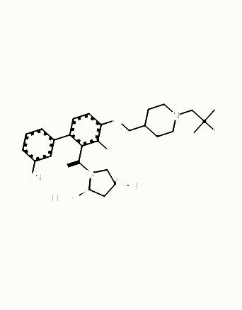 CC(C)(F)CN1CCC(COc2ccc(-c3cccc(C#N)c3)c(C(=O)N3C[C@H](O)C[C@H]3C(=O)O)c2F)CC1